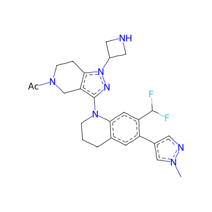 CC(=O)N1CCc2c(c(N3CCCc4cc(-c5cnn(C)c5)c(C(F)F)cc43)nn2C2CNC2)C1